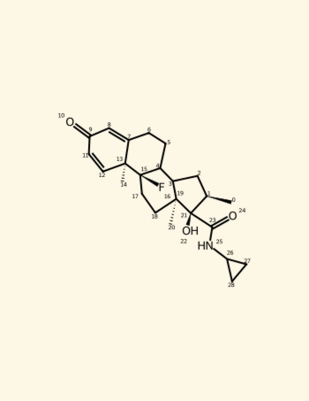 C[C@@H]1CC2C3CCC4=CC(=O)C=C[C@]4(C)[C@@]3(F)CC[C@]2(C)[C@@]1(O)C(=O)NC1CC1